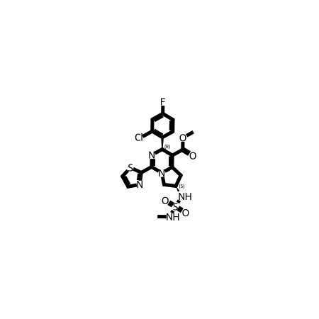 CNS(=O)(=O)N[C@H]1CC2=C(C(=O)OC)[C@H](c3ccc(F)cc3Cl)N=C(c3nccs3)N2C1